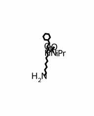 CC(C)NC(=O)N(CCCCCCCCN)OCC1CCCCC1